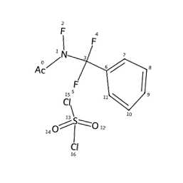 CC(=O)N(F)C(F)(F)c1ccccc1.O=S(=O)(Cl)Cl